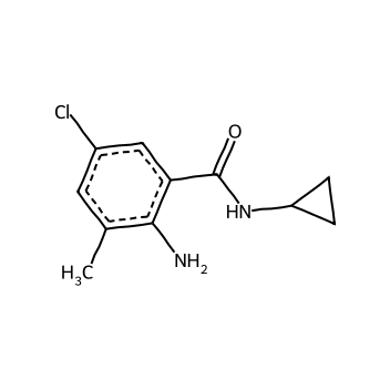 Cc1cc(Cl)cc(C(=O)NC2CC2)c1N